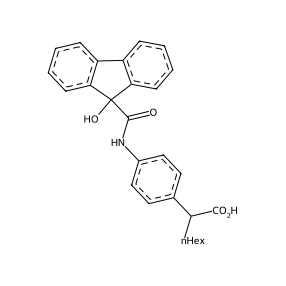 CCCCCCC(C(=O)O)c1ccc(NC(=O)C2(O)c3ccccc3-c3ccccc32)cc1